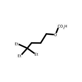 CCC(CC)(CC)CCCOC(=O)O